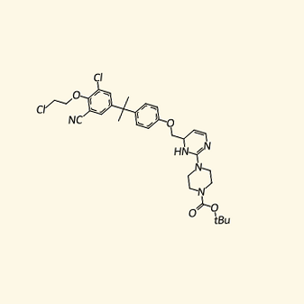 CC(C)(C)OC(=O)N1CCN(C2=NC=CC(COc3ccc(C(C)(C)c4cc(Cl)c(OCCCl)c(C#N)c4)cc3)N2)CC1